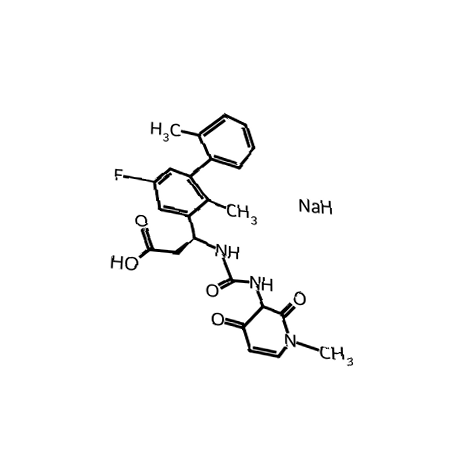 Cc1ccccc1-c1cc(F)cc([C@H](CC(=O)O)NC(=O)NC2C(=O)C=CN(C)C2=O)c1C.[NaH]